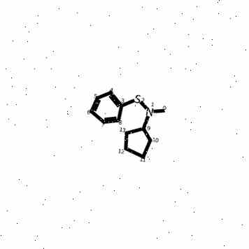 CN(Sc1ccccc1)C1CCCC1